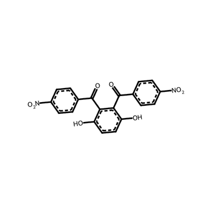 O=C(c1ccc([N+](=O)[O-])cc1)c1c(O)ccc(O)c1C(=O)c1ccc([N+](=O)[O-])cc1